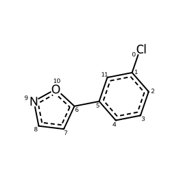 Clc1cccc(-c2ccno2)c1